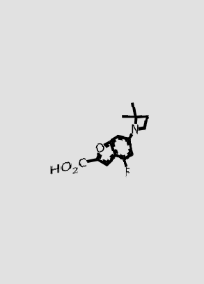 CC1(C)CCN1c1cc(F)c2cc(C(=O)O)oc2c1